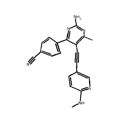 CNc1ccc(C#Cc2c(C)nc(N)nc2-c2ccc(C#N)cc2)cn1